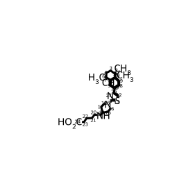 CC1(C)CCC(C)(C)c2cc(-c3csc(N4CCC(NCCCCC(=O)O)CC4)n3)ccc21